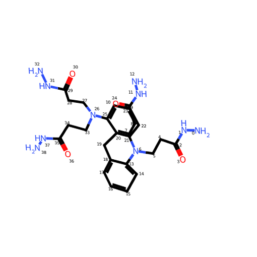 NNC(=O)CCN(CCC(=O)NN)c1ccccc1Cc1ccccc1N(CCC(=O)NN)CCC(=O)NN